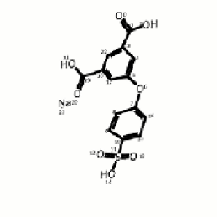 O=C(O)c1cc(Oc2ccc(S(=O)(=O)O)cc2)cc(C(=O)O)c1.[Na]